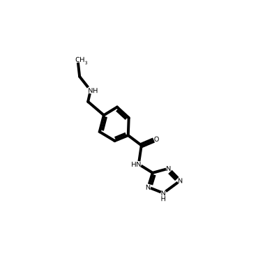 CCNCc1ccc(C(=O)Nc2nn[nH]n2)cc1